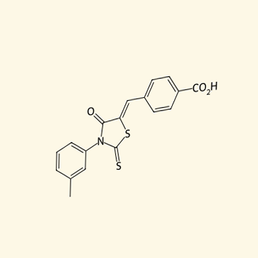 Cc1cccc(N2C(=O)/C(=C/c3ccc(C(=O)O)cc3)SC2=S)c1